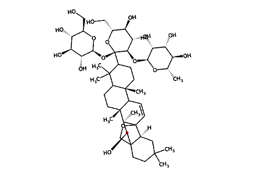 C[C@@H]1O[C@@H](O[C@@H]2[C@@H](O)[C@H](O)[C@@H](CO)O[C@@]2(O[C@@H]2O[C@H](CO)[C@@H](O)[C@H](O)[C@H]2O)C2CC[C@@]3(C)C(CC[C@]4(C)C3C=CC35OCC6(CCC(C)(C)C[C@@H]63)[C@H](O)C[C@]54C)C2(C)C)[C@H](O)[C@H](O)[C@H]1O